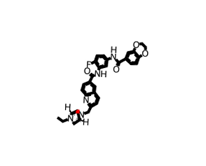 CCN1C[C@@H]2C[C@H]1CN2Cc1ccc2cc(C(=O)Nc3cc(NC(=O)c4ccc5c(c4)OCCO5)ccc3F)ccc2n1